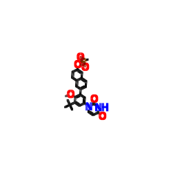 COc1c(-c2ccc3cc(OS(C)(=O)=O)ccc3c2)cc(-n2ccc(=O)[nH]c2=O)cc1C(C)(C)C